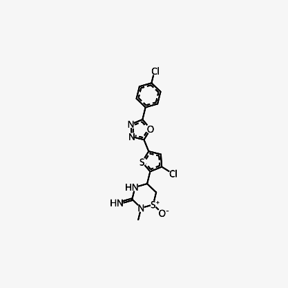 CN1C(=N)NC(c2sc(-c3nnc(-c4ccc(Cl)cc4)o3)cc2Cl)C[S+]1[O-]